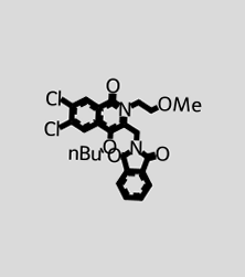 CCCCOc1c(CN2C(=O)c3ccccc3C2=O)n(CCOC)c(=O)c2cc(Cl)c(Cl)cc12